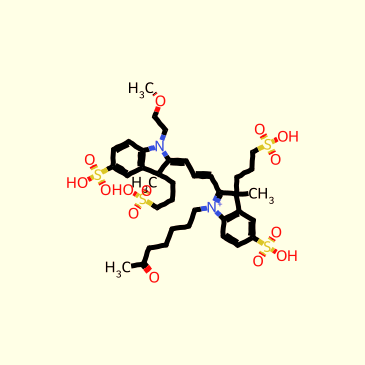 COCCN1/C(=C/C=C/C2=[N+](CCCCCC(C)=O)c3ccc(S(=O)(=O)O)cc3C2(C)CCCS(=O)(=O)O)C(C)(CCCS(=O)(=O)O)c2cc(S(=O)(=O)O)ccc21